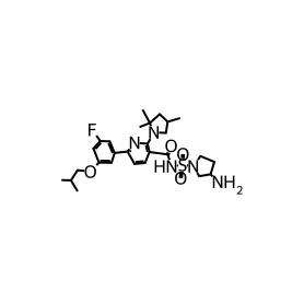 CC(C)COc1cc(F)cc(-c2ccc(C(=O)NS(=O)(=O)N3CCC(N)C3)c(N3CC(C)CC3(C)C)n2)c1